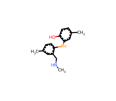 CNCc1cc(C)ccc1Pc1cc(C)ccc1O